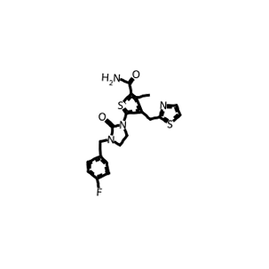 Cc1c(C(N)=O)sc(N2CCN(Cc3ccc(F)cc3)C2=O)c1Cc1nccs1